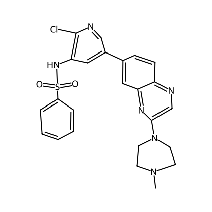 CN1CCN(c2cnc3ccc(-c4cnc(Cl)c(NS(=O)(=O)c5ccccc5)c4)cc3n2)CC1